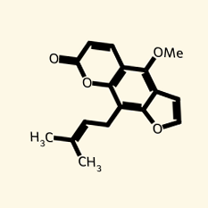 COc1c2ccoc2c(CC=C(C)C)c2oc(=O)ccc12